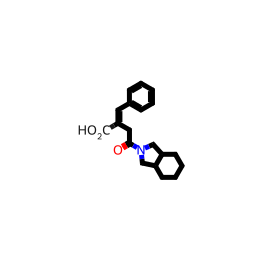 O=C(O)/C(=C/c1ccccc1)CC(=O)N1CC2CCCCC2C1